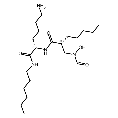 CCCCCCNC(=O)[C@H](CCCCN)NC(=O)[C@H](CCCCC)CN(O)C=O